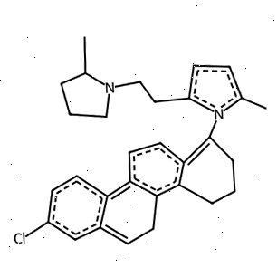 Cc1ccc(CCN2CCCC2C)n1C1=c2ccc3c(c2CCC1)CC=c1cc(Cl)ccc1=3